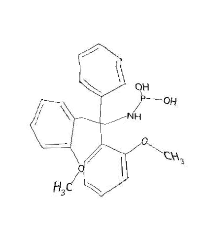 COc1ccccc1C(NP(O)O)(c1ccccc1)c1ccccc1OC